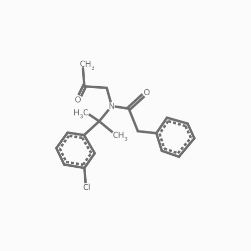 CC(=O)CN(C(=O)Cc1ccccc1)C(C)(C)c1cccc(Cl)c1